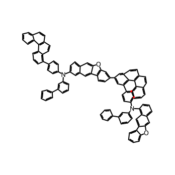 c1ccc(-c2cccc(N(c3ccc(-c4cccc5c4ccc4ccc6ccccc6c45)cc3)c3ccc4cc5oc6cc(-c7cc(-c8ccc(N(c9cccc(-c%10ccccc%10)c9)c9cccc%10cc%11oc%12ccccc%12c%11cc9%10)cc8)c8c(ccc9ccc%10ccccc%10c98)c7)ccc6c5cc4c3)c2)cc1